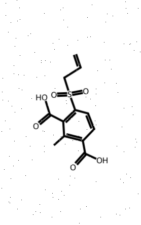 C=CCS(=O)(=O)c1ccc(C(=O)O)c(C)c1C(=O)O